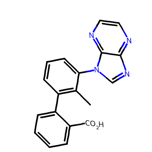 Cc1c(-c2ccccc2C(=O)O)cccc1-n1cnc2nccnc21